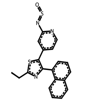 CCc1nc(-c2cccc3ccccc23)c(-c2ccnc(N=S=O)c2)s1